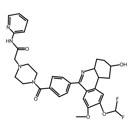 COc1cc2c(cc1OC(F)F)C1CC(O)CCC1N=C2c1ccc(C(=O)N2CCN(CC(=O)Nc3ccccn3)CC2)cc1